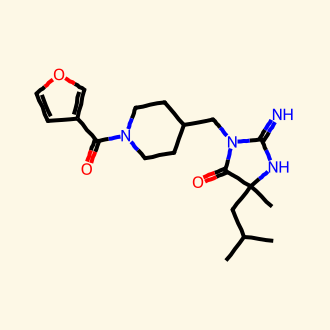 CC(C)CC1(C)NC(=N)N(CC2CCN(C(=O)c3ccoc3)CC2)C1=O